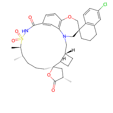 C[C@@H]1[C@@H](C)CCC[C@@]2(C[C@H](C)C(=O)O2)[C@@H]2CC[C@H]2CN2C[C@@]3(CCCc4cc(Cl)ccc43)COc3ccc(cc32)C(=O)NS1(=O)=O